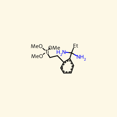 CCC(N)(N)c1ccccc1C[CH2][Ti]([O]C)([O]C)[O]C